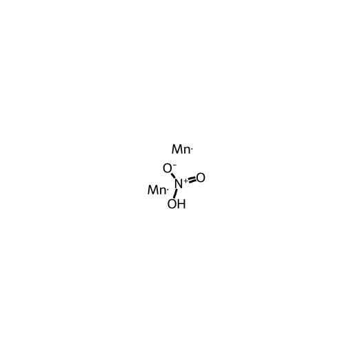 O=[N+]([O-])O.[Mn].[Mn]